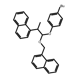 CCC(C)c1ccc(OC(OCc2cccc3ccccc23)C(C)c2cccc3ccccc23)cc1